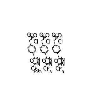 O=P([O-])(Cl)Cc1ccc(-c2nnc(C(F)(F)F)o2)cc1.O=P([O-])(Cl)Cc1ccc(-c2nnc(C(F)(F)F)o2)cc1.O=P([O-])(Cl)Cc1ccc(-c2nnc(C(F)(F)F)o2)cc1.[P+3]